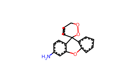 Nc1ccc2c(c1)Oc1ccccc1C21OOCc2ccccc21